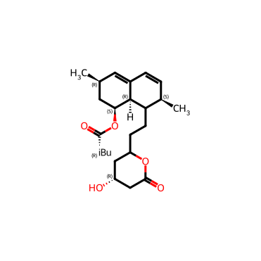 CC[C@@H](C)C(=O)O[C@H]1C[C@@H](C)C=C2C=C[C@@H](C)C(CCC3C[C@@H](O)CC(=O)O3)[C@H]21